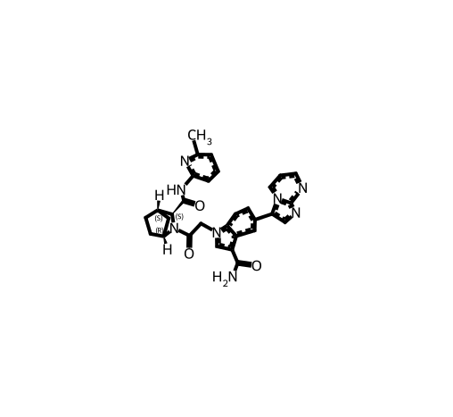 Cc1cccc(NC(=O)[C@@H]2[C@H]3CC[C@H](C3)N2C(=O)Cn2cc(C(N)=O)c3cc(-c4cnc5ncccn45)ccc32)n1